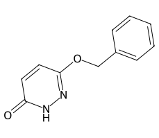 O=c1ccc(OCc2ccccc2)n[nH]1